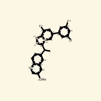 COc1cnc2ccc(C(C)c3nnc4c(F)cc(-c5cc(F)cc(F)c5)cn34)cc2c1